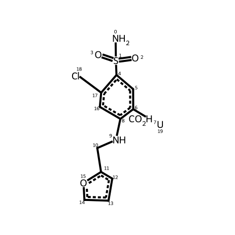 NS(=O)(=O)c1cc(C(=O)O)c(NCc2ccco2)cc1Cl.[U]